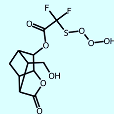 O=C1OC2C3CC(C(CO)C13)C2OC(=O)C(F)(F)SOOO